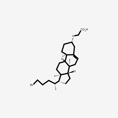 CC(C)CCC[C@@H](C)[C@H]1CC[C@@H]2[C@]1(C)CC[C@H]1[C@@]2(C)CC=C2C[C@@H](OCC(=O)O)CC[C@@]21C